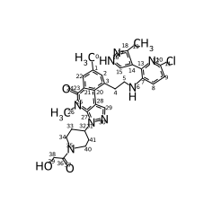 Cc1cc(CCNc2ccc(Cl)nc2-c2c[nH]nc2C)c2c(c1)c(=O)n(C)c1c2cnn1C1CCN(C(=O)CO)CC1